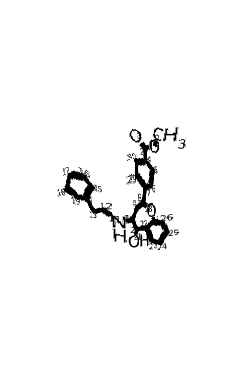 COC(=O)c1ccc(C2CC(NCCc3ccccc3)C(O)c3ccccc3O2)cc1